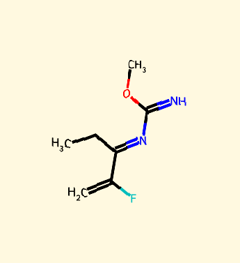 C=C(F)/C(CC)=N/C(=N)OC